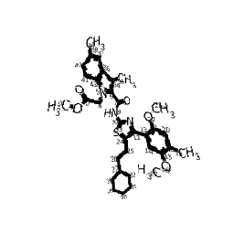 COC(=O)Cn1c(C(=O)Nc2nc(-c3cc(OC)c(C)cc3OC)c(CCC3CCCCC3)s2)c(C)c2cc(C)ccc21